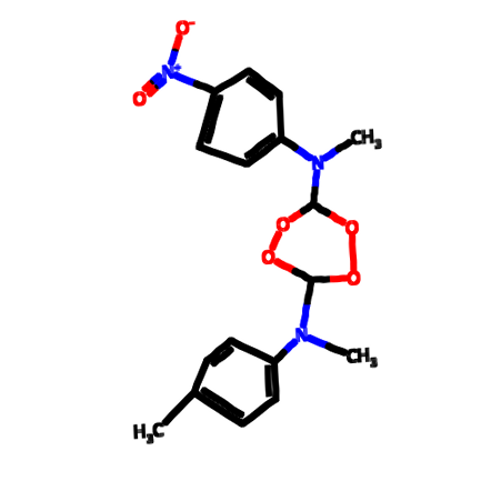 Cc1ccc(N(C)C2OOC(N(C)c3ccc([N+](=O)[O-])cc3)OO2)cc1